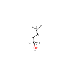 C[SiH](C)CC[Si](C)(C)O